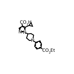 CCOC(=O)c1ccc(N2CCC(n3ncc(C(=O)O)c3C3CC3)CC2)cc1